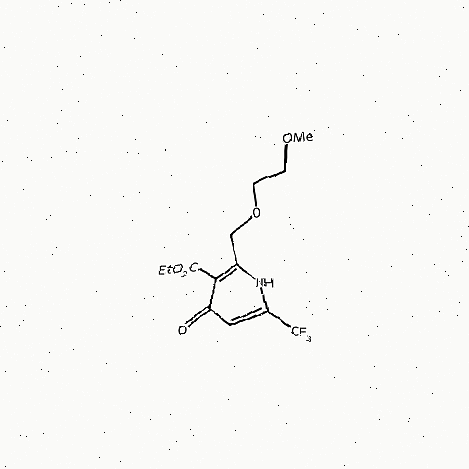 CCOC(=O)c1c(COCCOC)[nH]c(C(F)(F)F)cc1=O